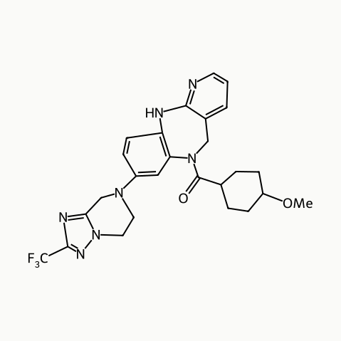 COC1CCC(C(=O)N2Cc3cccnc3Nc3ccc(N4CCn5nc(C(F)(F)F)nc5C4)cc32)CC1